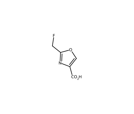 O=C(O)c1coc(CF)n1